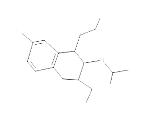 CCCC1c2cc(O)ccc2CC(CC)C1NC(C)C